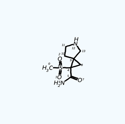 CS(=O)(=O)C1(C(N)=O)CC12CCNC2